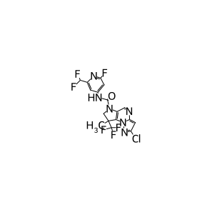 CC1(C(F)(F)F)CN(C(=O)Nc2cc(F)nc(C(F)F)c2)c2cnc3cc(Cl)nn3c21